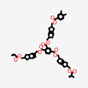 C=CC(=O)OCC1CC2C3CC(COC(=O)c4ccc(C(=O)OCC5CC6CC5C5CC(COC(=O)C(=C)C)CC65)cc4C(=O)OCC4CC5CC4C4CC(COC(=O)c6ccc(C)c(C)c6)CC54)C(C3)C2C1